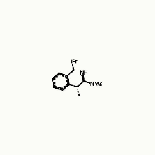 CNC(=N)[C@H](C)c1ccccc1CC(C)C